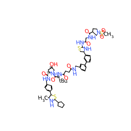 CC1NC(C2CCCC2)SC1c1ccc(CNC(=O)[C@@H]2C[C@@H](O)CN2C(=O)[C@@H](NC(=O)CCC(=O)NCc2cccc(-c3cccc(C4CSC(NC(=O)CNC(=O)C5CCN(S(C)(=O)=O)C5)N4)c3)c2)C(C)(C)C)cc1